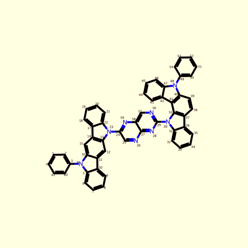 c1ccc(-n2c3ccccc3c3cc4c(cc32)c2ccccc2n4-c2cnc3nc(-n4c5ccccc5c5ccc6c(c7ccccc7n6-c6ccccc6)c54)ncc3n2)cc1